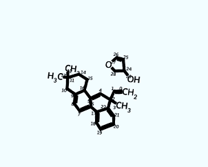 C=CC1(C)C=C2C(=CC=C3CC(C)(C)CCC32)c2ccccc21.OC1C=COC1